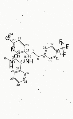 CNC(=O)C(N[C@@H](CCc1ccc(C(F)(F)F)cc1)c1ccc(OC)nc1)c1ccccc1